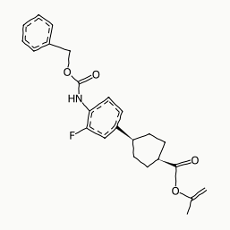 C=C(C)OC(=O)[C@H]1CC[C@@H](c2ccc(NC(=O)OCc3ccccc3)c(F)c2)CC1